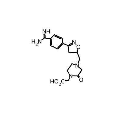 N=C(N)c1ccc(C2=NOC(CN3CCN(CC(=O)O)C(=O)C3)C2)cc1